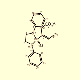 CC(C)/C=C(\CC(=O)O)P1(=O)N(c2ccccc2)CCN1c1ccccc1